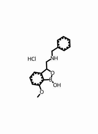 COc1cccc2c1B(O)OC2CNCc1ccccc1.Cl